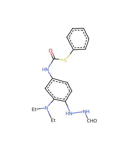 CCN(CC)c1cc(NC(=O)Sc2ccccc2)ccc1NNC=O